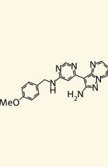 COc1ccc(CNc2cc(-c3c(N)nn4cccnc34)ncn2)cc1